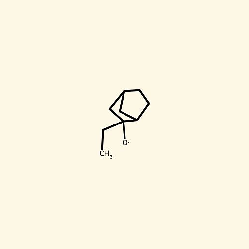 CCC1([O])CC2CCC1C2